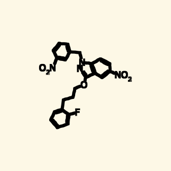 O=[N+]([O-])c1cccc(Cn2nc(OCCCc3ccccc3F)c3cc([N+](=O)[O-])ccc32)c1